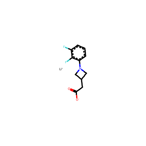 O=C([O-])CC1CN(c2cccc(F)c2F)C1.[Li+]